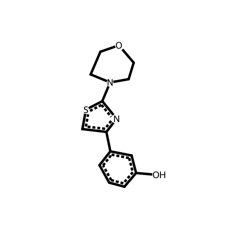 Oc1cccc(-c2csc(N3CCOCC3)n2)c1